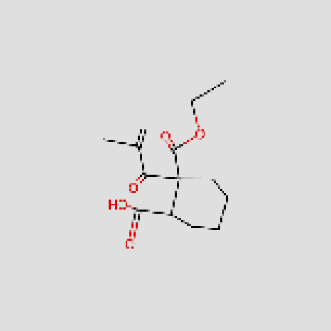 C=C(C)C(=O)C1(C(=O)OCC)CCCCC1C(=O)O